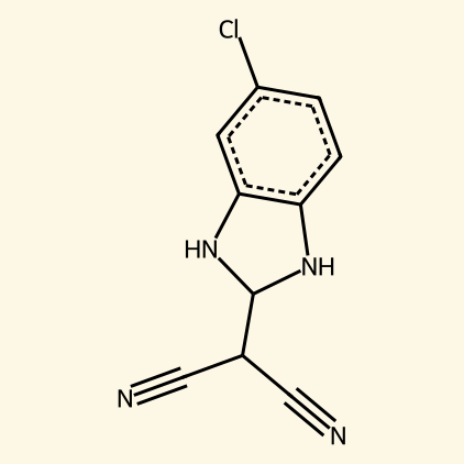 N#CC(C#N)C1Nc2ccc(Cl)cc2N1